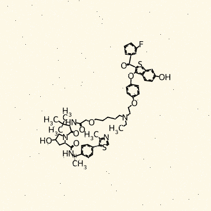 CCN(CCCCCOCC(=O)NC(C(=O)N1CC(O)CC1C(=O)N[C@@H](C)c1ccc(-c2scnc2C)cc1)C(C)(C)C)CCOc1ccc(Oc2c(C(=O)c3cccc(F)c3)sc3cc(O)ccc23)cc1